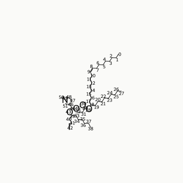 CCCCCCCC/C=C\CCCCCCCCC(CCCCCCCCC)OC(=O)CC[C@H](CCCCC)C(CCI)OC(=O)C1CCN(C)C1